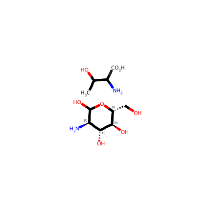 CC(O)C(N)C(=O)O.N[C@H]1C(O)O[C@H](CO)[C@@H](O)[C@@H]1O